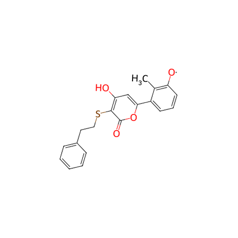 Cc1c([O])cccc1-c1cc(O)c(SCCc2ccccc2)c(=O)o1